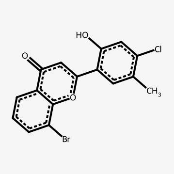 Cc1cc(-c2cc(=O)c3cccc(Br)c3o2)c(O)cc1Cl